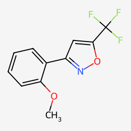 COc1ccccc1-c1cc(C(F)(F)F)on1